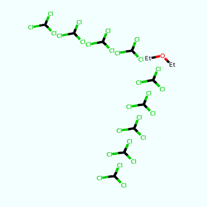 CCOCC.ClC(Cl)Cl.ClC(Cl)Cl.ClC(Cl)Cl.ClC(Cl)Cl.ClC(Cl)Cl.ClC(Cl)Cl.ClC(Cl)Cl.ClC(Cl)Cl.ClC(Cl)Cl